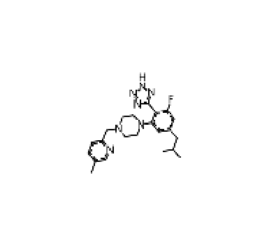 Cc1ccc(CN2CCN(c3cc(CC(C)C)cc(F)c3-c3nn[nH]n3)CC2)nc1